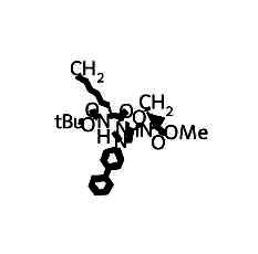 C=CCCCCC[C@H](NC(=O)OC(C)(C)C)C(=O)N1CN(c2ccc(-c3ccccc3)cc2)C[C@H]1C(=O)N[C@]1(C(=O)OC)C[C@H]1C=C